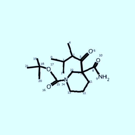 CC(C)C(C)C(=O)C1(C(N)=O)CCCN(C(=O)OC(C)(C)C)C1